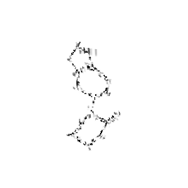 O=c1ccccn1-c1ccc2c(c1)CCN2